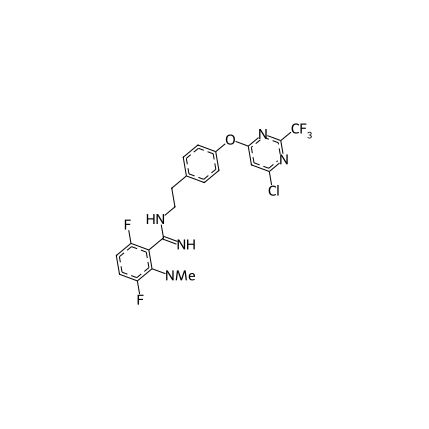 CNc1c(F)ccc(F)c1C(=N)NCCc1ccc(Oc2cc(Cl)nc(C(F)(F)F)n2)cc1